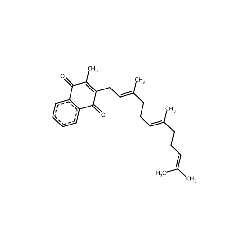 CC(C)=CCC/C(C)=C/CC/C(C)=C/CC1=C(C)C(=O)c2ccccc2C1=O